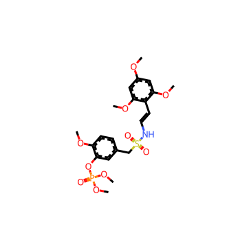 COc1cc(OC)c(/C=C/NS(=O)(=O)Cc2ccc(OC)c(OP(=O)(OC)OC)c2)c(OC)c1